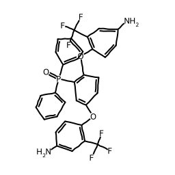 Nc1ccc(Oc2ccc(Oc3ccc(N)cc3C(F)(F)F)c(P(=O)(c3ccccc3)c3ccccc3)c2)c(C(F)(F)F)c1